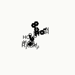 CC(C)(C)[Si](C)(C)O[C@@H]1C[C@@H](COc2nc3c(c(N4CCN[C@H](CC#N)C4)n2)CCN(c2cccc4ccccc24)C3)N(C(=O)O)C1